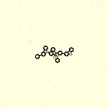 O=P1(c2ccc(-n3c4ccccc4c4cc(C5=CCCC=C5)ccc43)cc2)N(c2ccccc2)c2ccc(-c3ccc4oc5ccccc5c4c3)cc2N1c1ccccc1